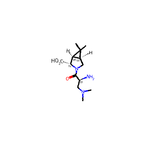 CN(C)C[C@H](N)C(=O)N1C[C@H]2[C@@H]([C@H]1C(=O)O)C2(C)C